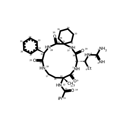 CCC(NC(=N)N)[C@@H]1NC(=O)[C@](C)(NC(=O)C(C)C)CCNC(=O)[C@@H](c2ccccc2)NC(=O)C2(CCCCC2)NC1=O